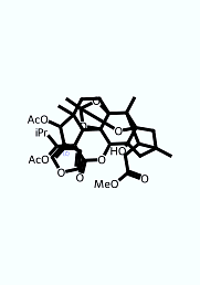 COC(=O)CC1C2(C)CC3(O)C4OC(=O)/C(=C(\OC(C)=O)C(C)C)C5C(C)(C(OC(C)=O)c6ccoc6)CCC67OC(C)(OC546)OC3(C2)C17C